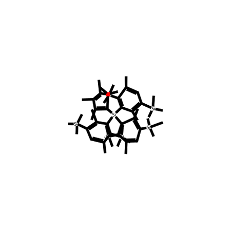 CC1=C(C)C(C)C([Si](c2c(C)c([Si](C)(C)C)cc(C)c2[Si](C)(C)C)(c2c(C)c([Si](C)(C)C)cc(C)c2[Si](C)(C)C)c2c(C)c([Si](C)(C)C)cc(C)c2[Si](C)(C)C)=C1C